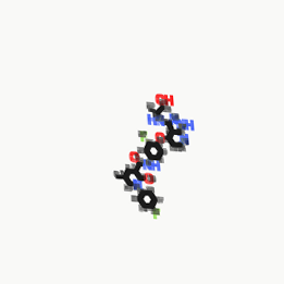 Cc1cc(C(=O)Nc2ccc(Oc3ccnc4[nH]nc(N[C@@H](C)CO)c34)c(F)c2)c(=O)n(-c2ccc(F)cc2)c1